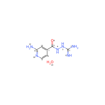 N=C(N)NNC(=O)c1ccnc(N)c1.O